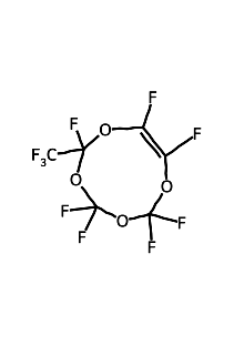 F/C1=C(\F)OC(F)(C(F)(F)F)OC(F)(F)OC(F)(F)O1